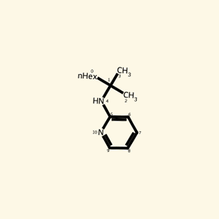 CCCCCCC(C)(C)Nc1ccccn1